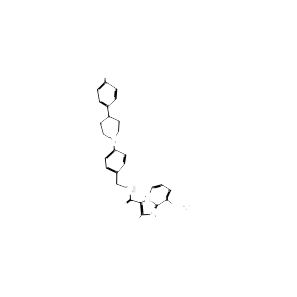 CCc1nc2c(OC)cccn2c1C(=O)NCc1ccc(N2CCC(c3ccc(Cl)cc3)CC2)cc1